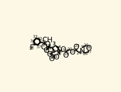 CC(C)(OC(=O)C1C2CC3C(OS(=O)(=O)C31)C2OC(=O)COC(=O)CN1CCOCC1)c1cccc(F)c1